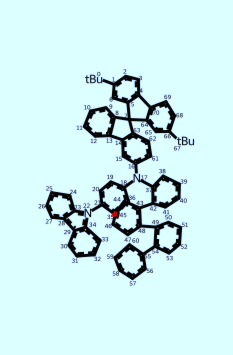 CC(C)(C)c1ccc2c(c1)C1(c3ccccc3-c3cc(N(c4ccc(-n5c6ccccc6c6ccccc65)cc4)c4ccccc4-c4ccccc4-c4ccccc4-c4ccccc4)ccc31)c1cc(C(C)(C)C)ccc1-2